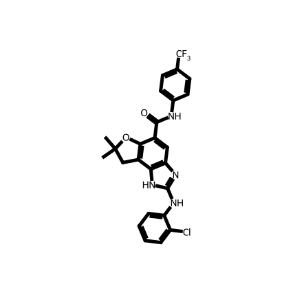 CC1(C)Cc2c(c(C(=O)Nc3ccc(C(F)(F)F)cc3)cc3nc(Nc4ccccc4Cl)[nH]c23)O1